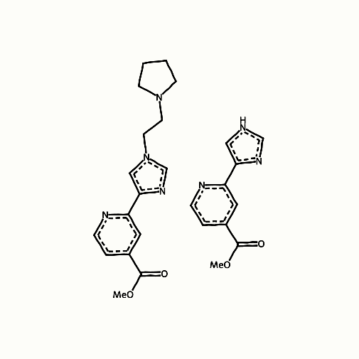 COC(=O)c1ccnc(-c2c[nH]cn2)c1.COC(=O)c1ccnc(-c2cn(CCN3CCCC3)cn2)c1